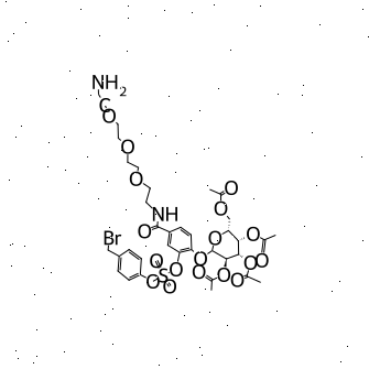 CC(=O)OC[C@H]1OC(Oc2ccc(C(=O)NCCOCCOCCOCCN)cc2OS(=O)(=O)Oc2ccc(CBr)cc2)[C@H](OC(C)=O)[C@@H](OC(C)=O)[C@H]1OC(C)=O